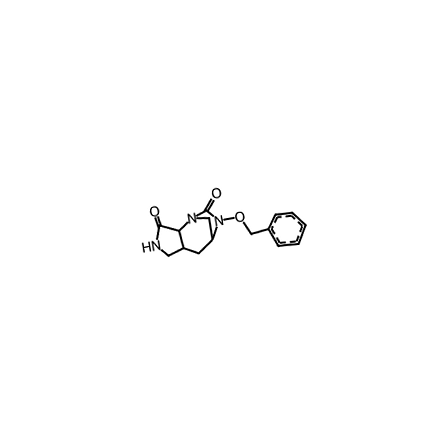 O=C1NCC2CC3CN(C(=O)N3OCc3ccccc3)C12